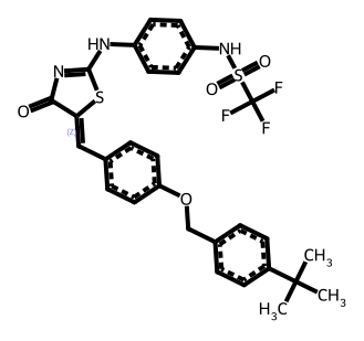 CC(C)(C)c1ccc(COc2ccc(/C=C3\SC(Nc4ccc(NS(=O)(=O)C(F)(F)F)cc4)=NC3=O)cc2)cc1